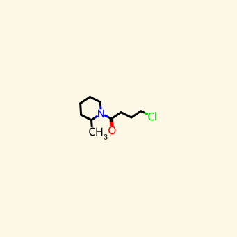 CC1CCCCN1C(=O)CCCCl